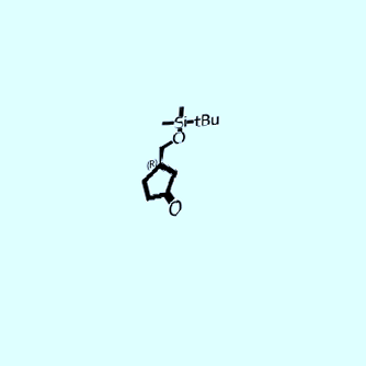 CC(C)(C)[Si](C)(C)OC[C@@H]1CCC(=O)C1